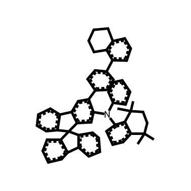 CC1(C)CCC(C)(C)c2c(N(c3ccccc3)c3cc4c(cc3-c3ccc(-c5cccc6c5CCCC6)cc3)-c3ccccc3C43c4ccccc4-c4ccccc43)cccc21